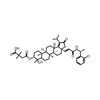 CC(C)C1=C2[C@H]3CC[C@@H]4[C@@]5(C)CC[C@H](OC(=O)CC(C)(C)C(=O)O)C(C)(C)[C@@H]5CC[C@@]4(C)[C@]3(C)CC[C@@]2(/C=C/C(=O)N[C@@H](C)c2ccccc2Cl)CC1=O